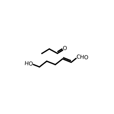 CCC=O.O=CC=CCCCO